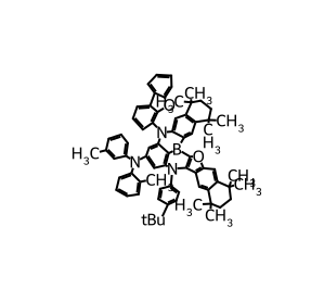 Cc1cccc(N(c2cc3c4c(c2)N(c2cccc5c2oc2ccccc25)c2cc5c(cc2B4c2oc4cc6c(cc4c2N3c2ccc(C(C)(C)C)cc2)C(C)(C)CCC6(C)C)C(C)(C)CCC5(C)C)c2ccccc2C)c1